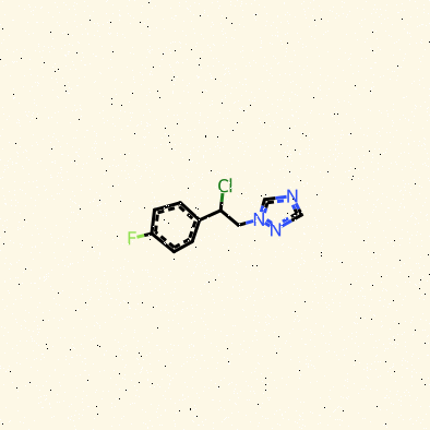 Fc1ccc(C(Cl)Cn2cncn2)cc1